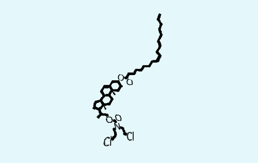 CCCCCCCC/C=C\CCCCCCCC(=O)O[C@H]1CC[C@@]2(C)C(=CCC3C4CCC(C(C)COC(=O)N(CCCl)CCCl)[C@@]4(C)CCC32)C1